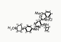 COc1cccc(Cl)c1NC(=O)c1cnc(Nc2ccc(N3CCN(C)CC3)cc2)nc1NC1CCC1